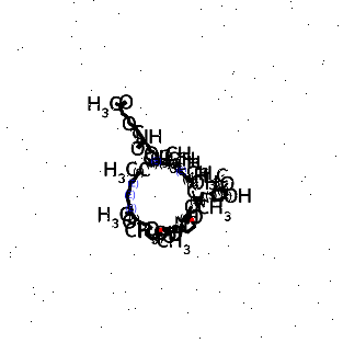 CO[C@H]1C[C@@H]2CC[C@@H](C)[C@@](O)(O2)C(=O)C(=O)N2CCCC[C@H]2C(=O)O[C@H]([C@H](C)C[C@@H]2CC[C@@H](O)[C@H](OC)C2)C[C@@H](O)[C@H](C)/C=C(\C)[C@@H](O)[C@@H](OC)/C(=N/OCC(=O)NCCOCCC(C)=O)[C@H](C)C[C@H](C)/C=C/C=C/C=C/1C